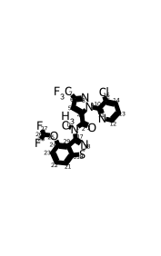 CN(C(=O)c1cc(C(F)(F)F)nn1-c1ncccc1Cl)c1nsc2cccc(OC(F)F)c12